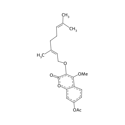 COc1c(OC/C=C(\C)CCC=C(C)C)c(=O)oc2cc(OC(C)=O)ccc12